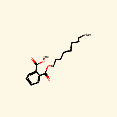 CCCCCCCCCCCCCCCCCCOC(=O)c1ccccc1C(=O)OCCCC